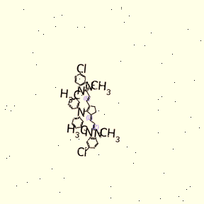 CN1/C(=C/C=C2\CCC(/C=C/c3n(C)c4cc(Cl)ccc4[n+]3C)=C2N(c2ccccc2)c2ccccc2)N(C)c2cc(Cl)ccc21